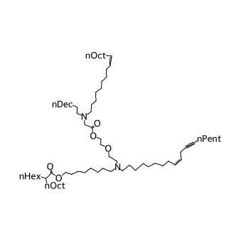 CCCCCC#CC/C=C\CCCCCCCCN(CCCCCCCCOC(=O)C(CCCCCC)CCCCCCCC)CCOCCOC(=O)CN(CCCCCCCC/C=C\CCCCCCCC)CCCCCCCCCCCC